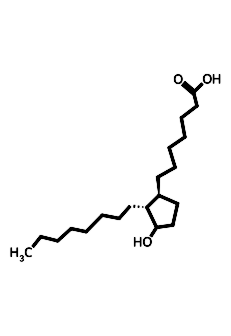 CCCCCCCC[C@H]1C(O)CC[C@@H]1CCCCCCC(=O)O